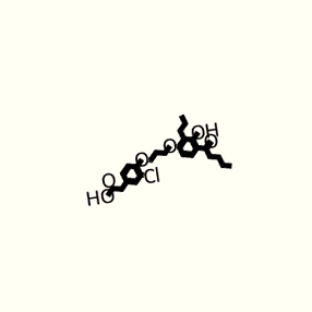 CCCCC(=O)c1ccc(OCCCOc2ccc(CC(=O)O)cc2Cl)c(CCC)c1O